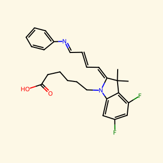 CC1(C)C(=CC=CC=Nc2ccccc2)N(CCCCCC(=O)O)c2cc(F)cc(F)c21